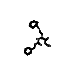 CC(C)(C)OC(=O)[C@H](CCSc1ccccc1)NC(=O)OCc1ccccc1